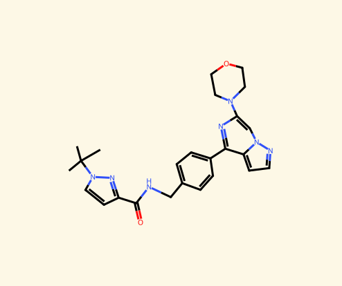 CC(C)(C)n1ccc(C(=O)NCc2ccc(-c3nc(N4CCOCC4)cn4nccc34)cc2)n1